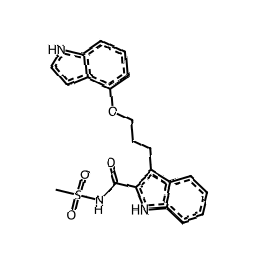 CS(=O)(=O)NC(=O)c1[nH]c2ccccc2c1CCCOc1cccc2[nH]ccc12